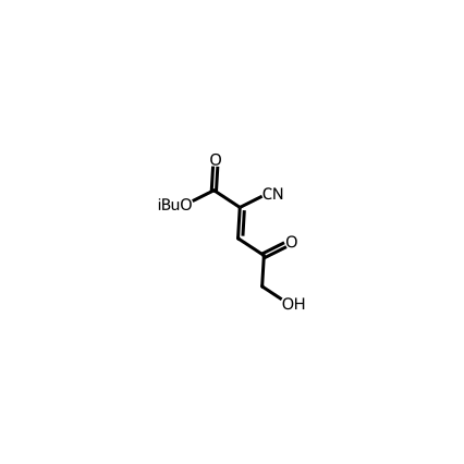 CC(C)COC(=O)C(C#N)=CC(=O)CO